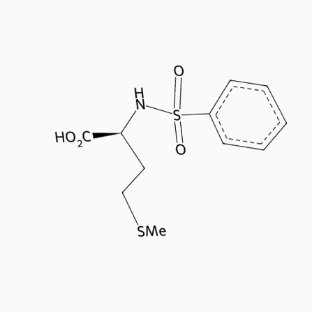 CSCC[C@H](NS(=O)(=O)c1ccccc1)C(=O)O